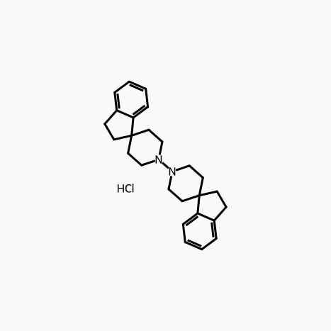 Cl.c1ccc2c(c1)CCC21CCN(N2CCC3(CCc4ccccc43)CC2)CC1